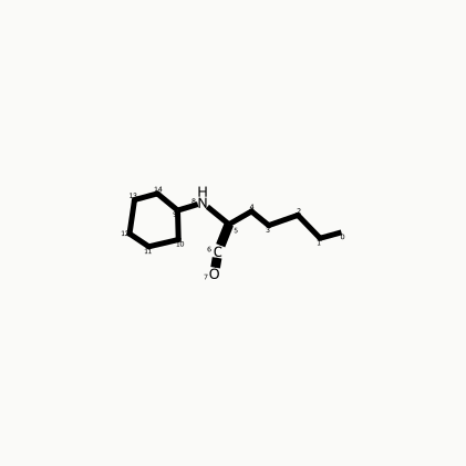 CCCCCC(=C=O)NC1CCCCC1